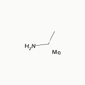 CCN.[Mo]